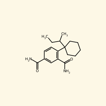 CCC(C)C1(c2ccc(C(N)=O)cc2C(N)=O)CCCCC1